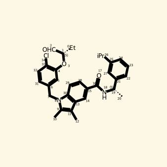 CC[C@@H](C=O)Oc1cc(Cn2c(C)c(C)c3cc(C(=O)N[C@@H](C)c4cccc(C(C)C)c4)ccc32)ccc1Cl